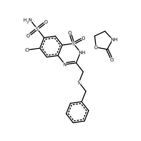 NS(=O)(=O)c1cc2c(cc1Cl)N=C(CSCc1ccccc1)NS2(=O)=O.O=C1NCCO1